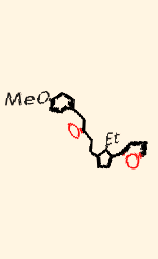 CCC1C(CCC(=O)Cc2ccc(OC)cc2)=CC=C1c1ccco1